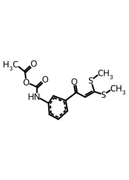 CSC(=CC(=O)c1cccc(NC(=O)OC(C)=O)c1)SC